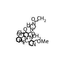 C=CC(=O)N1CCN2C(=O)c3c(N(C)c4c(C)ccnc4COC)nc(-c4c(O)cccc4F)c(Cl)c3OC[C@H]2C1